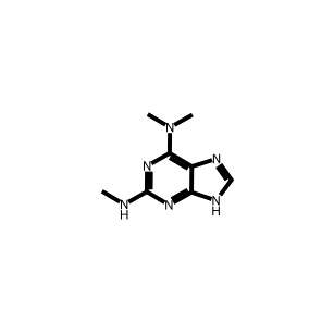 CNc1nc(N(C)C)c2nc[nH]c2n1